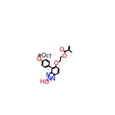 C=C(C)C(=O)OCCOc1ccc2nn(O)nc2c1-c1ccc(OCCCCCCCC)cc1